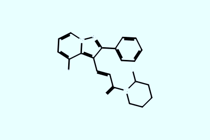 CCC1CCCCN1C(=O)C=Cc1c(-c2ccccc2)nn2cccc(Cl)c12